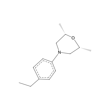 CCc1ccc(N2C[C@@H](C)O[C@@H](C)C2)cc1